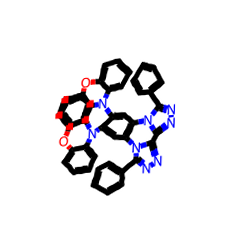 c1ccc(-c2nnc3c4nnc(-c5ccccc5)n4c4cc(N5c6ccccc6Oc6ccccc65)c(N5c6ccccc6Oc6ccccc65)cc4n23)cc1